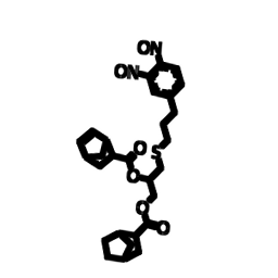 O=Nc1ccc(CCCSCC(COC(=O)C2CC3CCC2C3)OC(=O)C2CC3C=CC2C3)cc1N=O